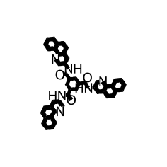 O=C(Nc1cnc2c(ccc3ccccc32)c1)C1CC(C(=O)Nc2cnc3c(ccc4ccccc43)c2)CC(C(=O)Nc2cnc3c(ccc4ccccc43)c2)C1